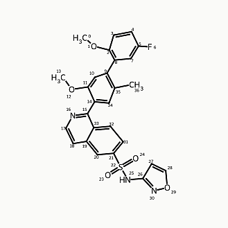 COc1ccc(F)cc1-c1cc(OC)c(-c2nccc3cc(S(=O)(=O)Nc4ccon4)ccc23)cc1C